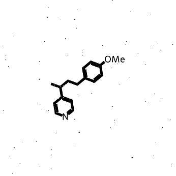 COc1ccc(CCC(C)c2ccncc2)cc1